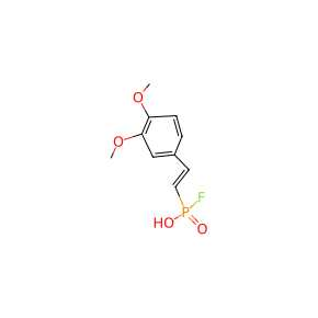 COc1ccc(C=CP(=O)(O)F)cc1OC